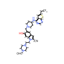 N#Cc1cc2cc(CN3CCC(Nc4ncnc5sc(CC(F)(F)F)cc45)CC3)c(O)cc2n1CCN1CCN(C=O)CC1